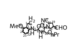 C=Cc1c(NCC(=O)NC(COCCC)C(=O)N2CC(C=O)CC2C#N)cccc1OC